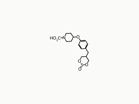 O=C(O)N1CCC(Oc2ccc(CC3COS(=O)OC3)cc2)CC1